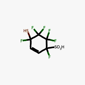 O=S(=O)(O)C1(F)C=CC(F)(S)C(F)(F)C1(F)F